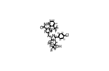 NC(=O)c1nc(Cn2nc(-c3ccc(Cl)cc3)n(CC(O)(O)C(F)(F)F)c2=O)nn1-c1ncccc1C(F)(F)F